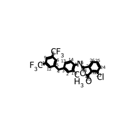 Cc1cc(Cc2cc(C(F)(F)F)cc(C(F)(F)F)c2)ccc1N=C1OC(=O)c2c(Cl)cccc21